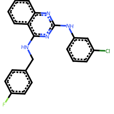 Fc1ccc(CNc2nc(Nc3cccc(Cl)c3)nc3ccccc23)cc1